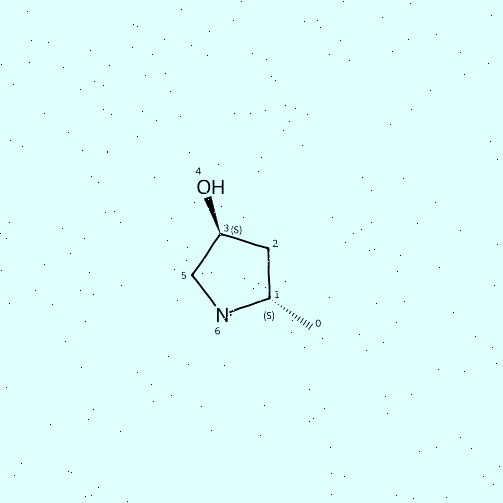 C[C@H]1C[C@H](O)C[N]1